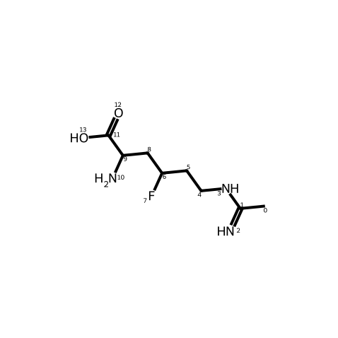 CC(=N)NCCC(F)CC(N)C(=O)O